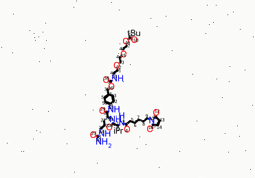 CC(C)C(NC(=O)CCCCCN1C(=O)C=CC1=O)C(=O)N[C@H](CCCNC(N)=O)C(=O)Nc1ccc(COC(=O)NCCOCCOCCOC(=O)C(C)(C)C)cc1